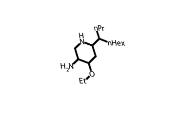 CCCCCCC(CCC)C1CC(OCC)C(N)CN1